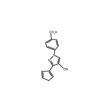 N#Cc1cn(-c2ccc(C(=O)O)cc2)nc1C1=CCC=C1